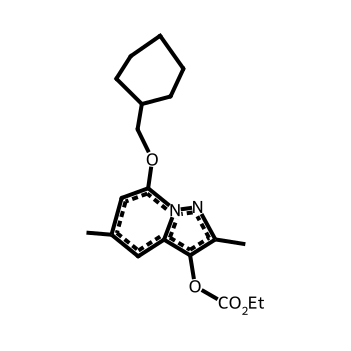 CCOC(=O)Oc1c(C)nn2c(OCC3CCCCC3)cc(C)cc12